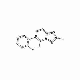 [CH2]c1c(-c2ccccc2Cl)ccc2sc(C)nc12